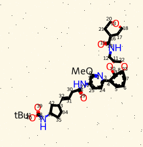 COc1nc(-c2cccc3c2OC(CNC(=O)C2CCOCC2)CO3)ccc1NC(=O)C/C=C/[C@H]1CC[C@@H](NC(=O)OC(C)(C)C)C1